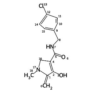 C=C1C(O)=C(C(=O)NCc2ccc(Cl)cc2)CN1C